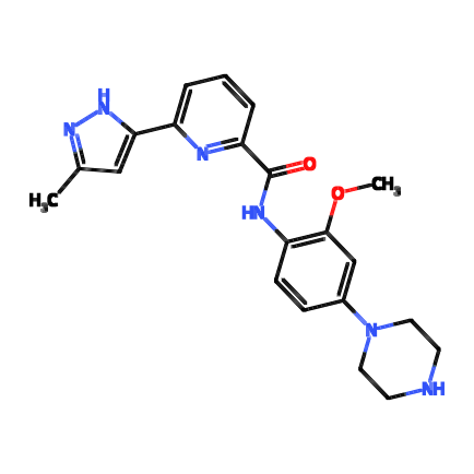 COc1cc(N2CCNCC2)ccc1NC(=O)c1cccc(-c2cc(C)n[nH]2)n1